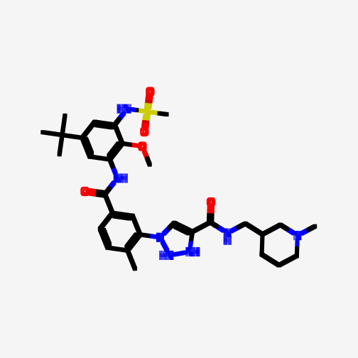 COc1c(NC(=O)c2ccc(C)c(N3C=C(C(=O)NCC4CCCN(C)C4)NN3)c2)cc(C(C)(C)C)cc1NS(C)(=O)=O